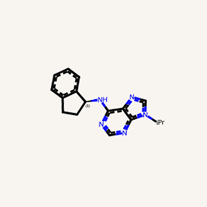 CC(C)n1cnc2c(N[C@H]3CCc4ccccc43)ncnc21